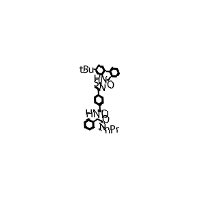 CCCN(C)C(=O)[C@@H](NC(=O)c1ccc(-c2csc(NC(=O)c3ccccc3-c3ccc(C(C)(C)C)cc3)n2)cc1)c1ccccc1